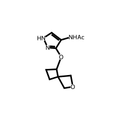 CC(=O)Nc1c[nH]nc1OC1CCC12COC2